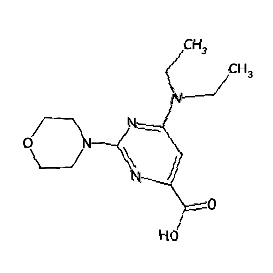 CCN(CC)c1cc(C(=O)O)nc(N2CCOCC2)n1